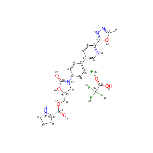 Cc1nnc(-c2ccc(-c3ccc(N4C[C@H](COC(=O)[C@@H]5CCCN5)OC4=O)cc3F)cn2)o1.O=C(O)C(F)(F)F